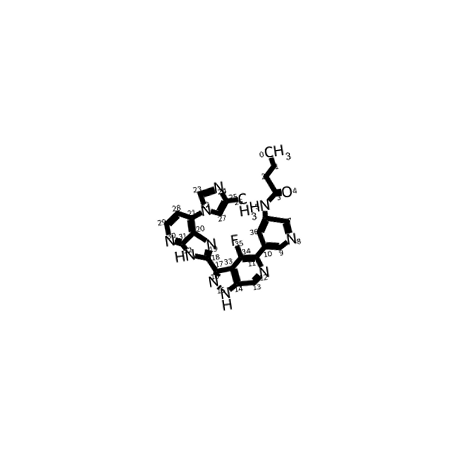 CCCC(=O)Nc1cncc(-c2ncc3[nH]nc(-c4nc5c(-n6cnc(C)c6)ccnc5[nH]4)c3c2F)c1